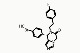 Cl.O=C1Cn2cncc2[C@H](c2ccc(Br)cc2)N1CCc1ccc(F)cc1